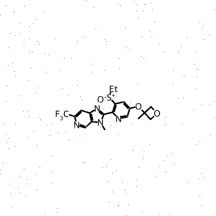 CC[S+]([O-])c1cc(OC2(C)COC2)cnc1-c1nc2cc(C(F)(F)F)ncc2n1C